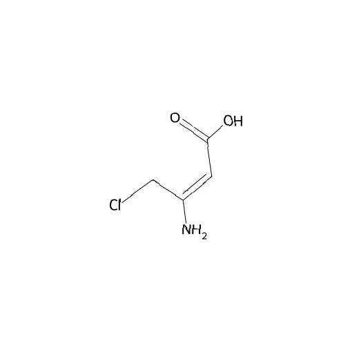 N/C(=C/C(=O)O)CCl